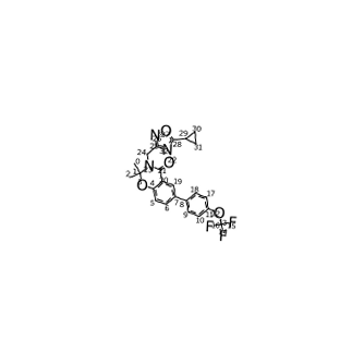 CC1(C)Oc2ccc(-c3ccc(OC(F)(F)F)cc3)cc2C(=O)N1Cc1noc(C2CC2)n1